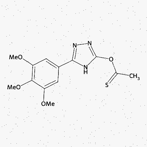 COc1cc(-c2nnc(OC(C)=S)[nH]2)cc(OC)c1OC